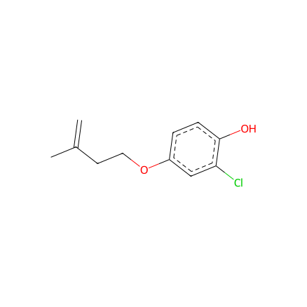 C=C(C)CCOc1ccc(O)c(Cl)c1